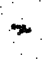 Cc1nccnc1N1CC2(CC(c3nnc4n3-c3ccc(Cl)cc3CN(C3(C)CC(F)(F)C3)C4)C2)C1